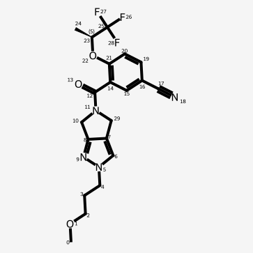 COCCCn1cc2c(n1)CN(C(=O)c1cc(C#N)ccc1O[C@@H](C)C(F)(F)F)C2